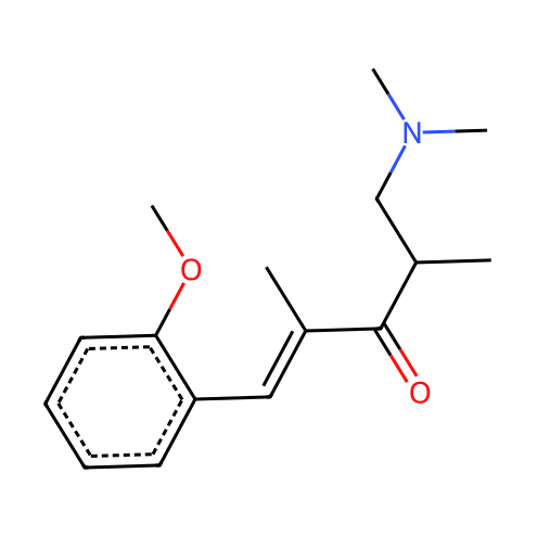 COc1ccccc1C=C(C)C(=O)C(C)CN(C)C